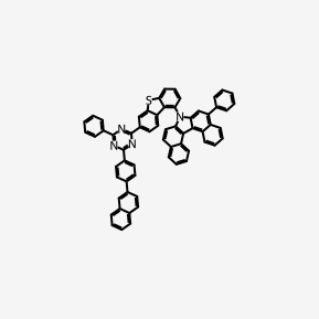 c1ccc(-c2nc(-c3ccc(-c4ccc5ccccc5c4)cc3)nc(-c3ccc4c(c3)sc3cccc(-n5c6ccc7ccccc7c6c6c7ccccc7c(-c7ccccc7)cc65)c34)n2)cc1